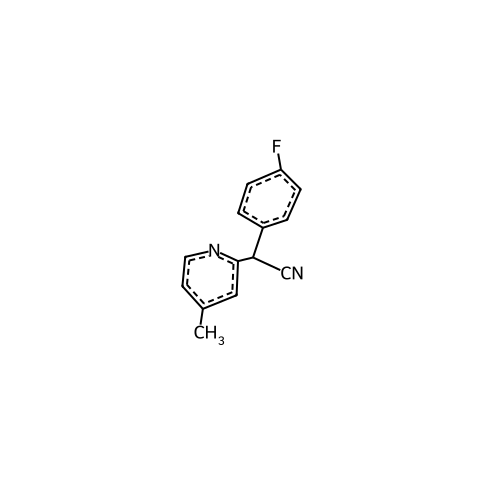 Cc1ccnc(C(C#N)c2ccc(F)cc2)c1